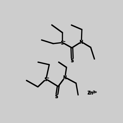 CCN(CC)C(=S)[S-](CC)CC.CCN(CC)C(=S)[S-](CC)CC.[Zn+2]